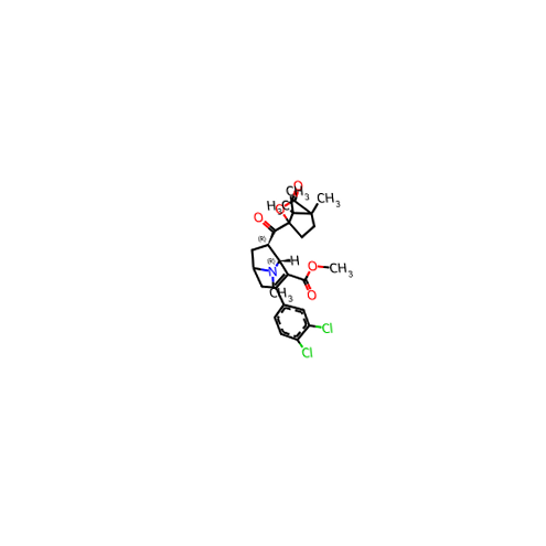 COC(=O)C1=C(c2ccc(Cl)c(Cl)c2)CC2C[C@@H](C(=O)C34CCC(C)(C(=O)O3)C4(C)C)[C@H]1N2C